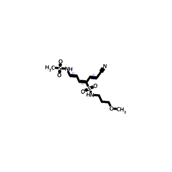 COCCCNS(=O)(=O)C(/C=C/C#N)=C/C=C/NS(C)(=O)=O